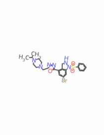 CC(C)N1CCN(Cc2nnc(-c3cc(Br)cc4c3CNN4S(=O)(=O)c3ccccc3)o2)CC1